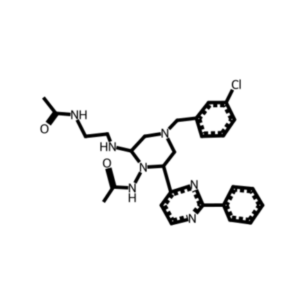 CC(=O)NCCNC1CN(Cc2cccc(Cl)c2)CC(c2ccnc(-c3ccccc3)n2)N1NC(C)=O